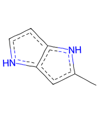 Cc1cc2[nH]ccc2[nH]1